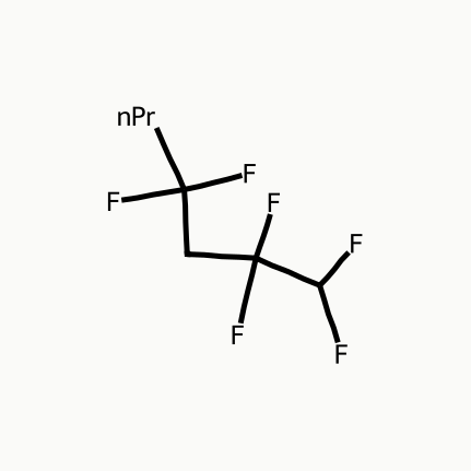 [CH2]CCC(F)(F)CC(F)(F)C(F)F